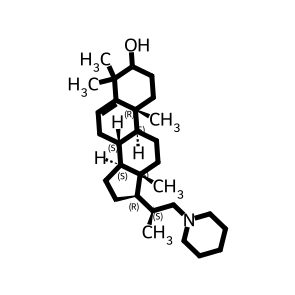 C[C@H](CN1CCCCC1)[C@H]1CC[C@H]2[C@@H]3CC=C4C(C)(C)C(O)CC[C@]4(C)[C@H]3CC[C@]12C